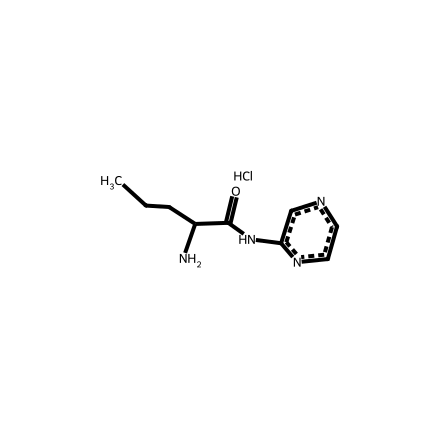 CCCC(N)C(=O)Nc1cnccn1.Cl